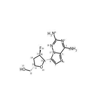 Nc1nc(N)c2ncc([C@@H]3O[C@H](CO)C[C@H]3F)n2n1